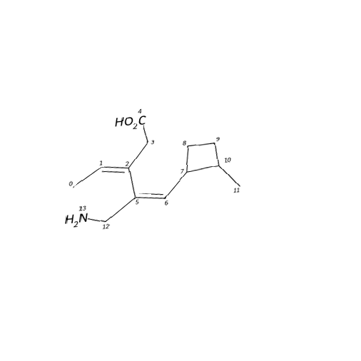 C/C=C(CC(=O)O)\C(=C/C1CCC1C)CN